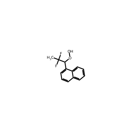 CC(F)(F)C(OO)c1cccc2ccccc12